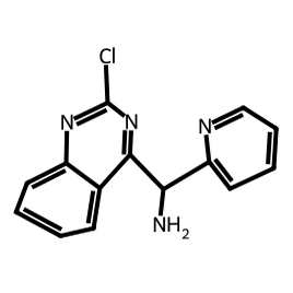 NC(c1ccccn1)c1nc(Cl)nc2ccccc12